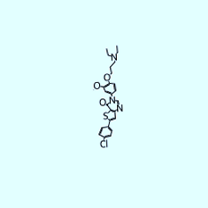 CCN(CC)CCCOc1ccc(-n2cnc3cc(-c4ccc(Cl)cc4)sc3c2=O)cc1OC